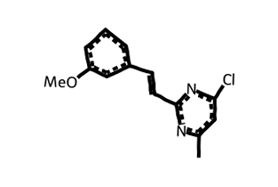 COc1cccc(C=Cc2nc(C)cc(Cl)n2)c1